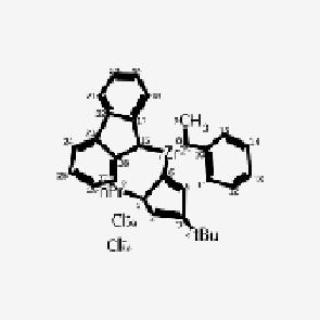 CCCC1C=C(C(C)(C)C)C=[C]1/[Zr+2](=[C](/C)c1ccccc1)[CH]1c2ccccc2-c2ccccc21.[Cl-].[Cl-]